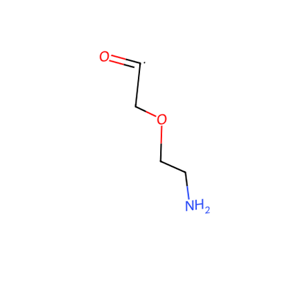 NCCOC[C]=O